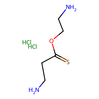 Cl.Cl.NCCOC(=S)CCN